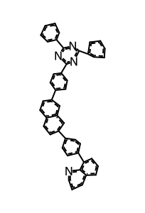 c1ccc(-c2nc(-c3ccccc3)nc(-c3ccc(-c4ccc5ccc(-c6ccc(-c7cccc8cccnc78)cc6)cc5c4)cc3)n2)cc1